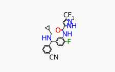 N#Cc1cccc(C(NCC2CC2)c2ccc(F)c(NC(=O)c3cc(C(F)(F)F)n[nH]3)c2)c1